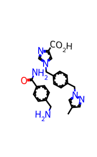 Cc1cnn(Cc2ccc(Cn3cnc(C(=O)O)c3)cc2)c1.NCc1ccc(C(N)=O)cc1